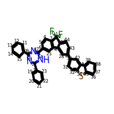 FC1(F)c2ccc(C3=NC(c4ccccc4)=NC(c4ccccc4)N3)cc2-c2cc(-c3ccc4sc5ccccc5c4c3)ccc21